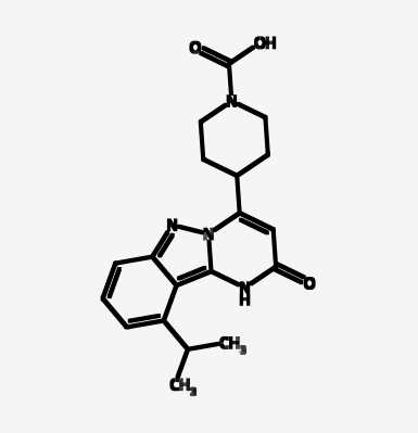 CC(C)c1cccc2nn3c(C4CCN(C(=O)O)CC4)cc(=O)[nH]c3c12